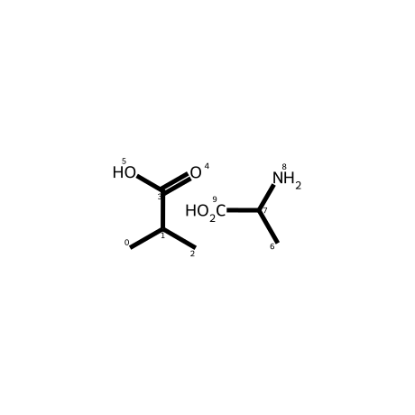 CC(C)C(=O)O.CC(N)C(=O)O